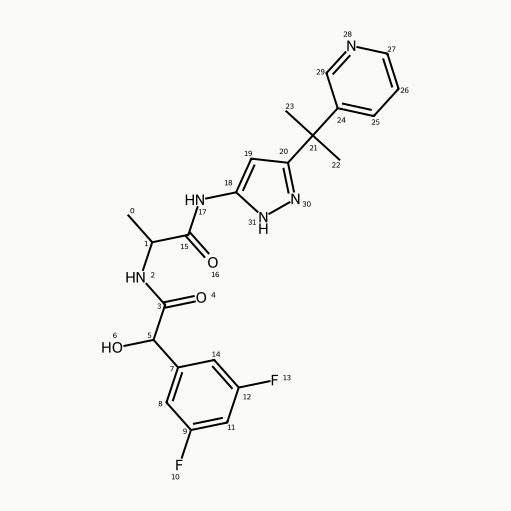 CC(NC(=O)C(O)c1cc(F)cc(F)c1)C(=O)Nc1cc(C(C)(C)c2cccnc2)n[nH]1